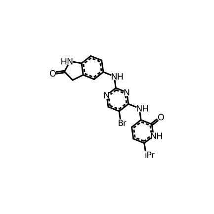 CC(C)c1ccc(Nc2nc(Nc3ccc4c(c3)CC(=O)N4)ncc2Br)c(=O)[nH]1